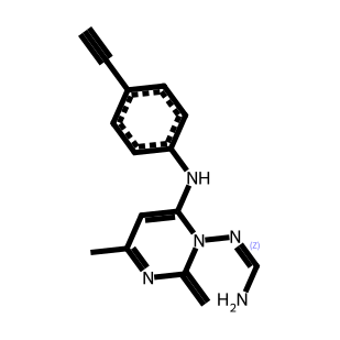 C#Cc1ccc(NC2=CC(C)=NC(=C)N2/N=C\N)cc1